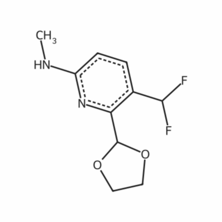 CNc1ccc(C(F)F)c(C2OCCO2)n1